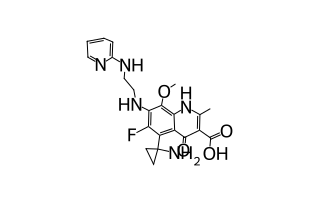 COc1c(NCCNc2ccccn2)c(F)c(C2(N)CC2)c2c(=O)c(C(=O)O)c(C)[nH]c12